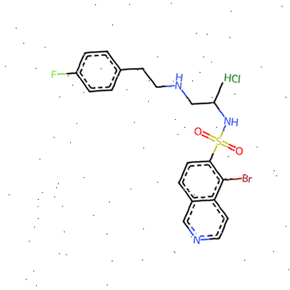 CC(CNCCc1ccc(F)cc1)NS(=O)(=O)c1ccc2cnccc2c1Br.Cl